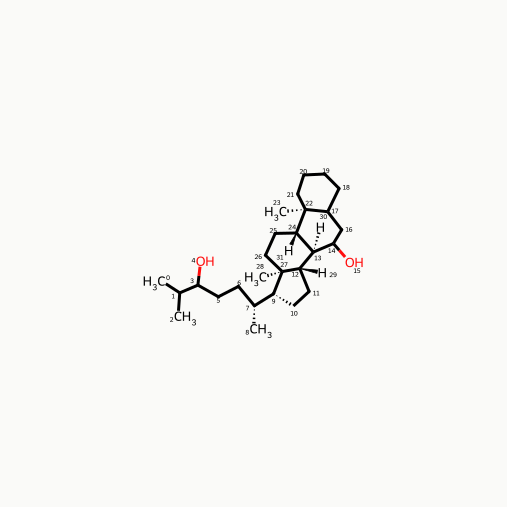 CC(C)C(O)CC[C@@H](C)[C@H]1CC[C@H]2[C@@H]3C(O)CC4CCCC[C@]4(C)[C@H]3CC[C@]12C